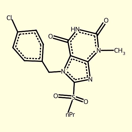 CCCS(=O)(=O)c1nc2c(c(=O)[nH]c(=O)n2C)n1Cc1ccc(Cl)cc1